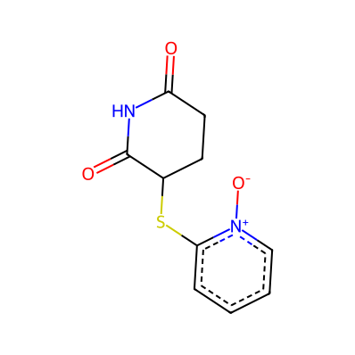 O=C1CCC(Sc2cccc[n+]2[O-])C(=O)N1